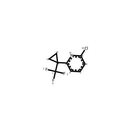 FC(F)(F)C1(c2cccc(Cl)n2)CC1